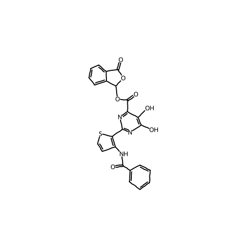 O=C(Nc1ccsc1-c1nc(O)c(O)c(C(=O)OC2OC(=O)c3ccccc32)n1)c1ccccc1